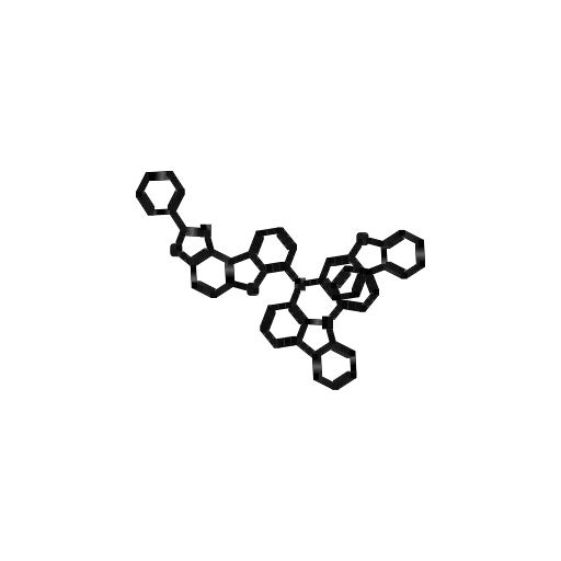 c1ccc(-c2nc3c(ccc4oc5c(N(c6ccc7c(c6)oc6ccccc67)c6cccc7c8ccccc8n(-c8ccccc8)c67)cccc5c43)o2)cc1